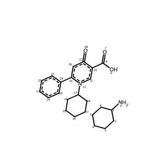 NC1CCCCC1.O=C(O)c1cn(C2CCCCC2)c(-c2ccccc2)cc1=O